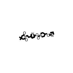 CC1(C)CC(=O)N(CCc2ccc(OC(=O)N3CCC(COn4cccn4)CC3)nc2)C(=O)C1